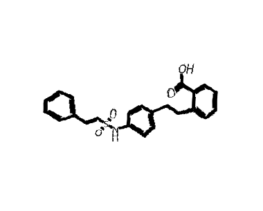 O=C(O)c1ccccc1CCc1ccc(NS(=O)(=O)/C=C/c2ccccc2)cc1